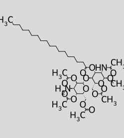 CCCCCCCCCCCCCCCCCC(=O)O[C@@H]1[C@H](NC(C)=O)[C@@H](OC)O[C@H](COC(C)=O)[C@H]1O[C@@H]1O[C@H](COC(C)=O)[C@H](OC(C)=O)[C@@H](N)[C@H]1OC(C)=O